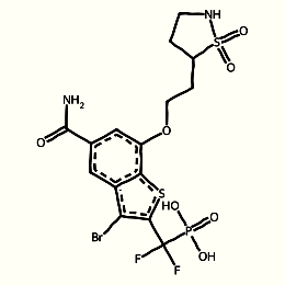 NC(=O)c1cc(OCCC2CCNS2(=O)=O)c2sc(C(F)(F)P(=O)(O)O)c(Br)c2c1